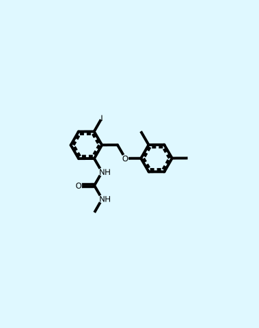 CNC(=O)Nc1cccc(I)c1COc1ccc(C)cc1C